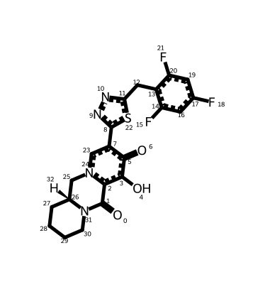 O=C1c2c(O)c(=O)c(-c3nnc(Cc4c(F)cc(F)cc4F)s3)cn2C[C@H]2CCCCN12